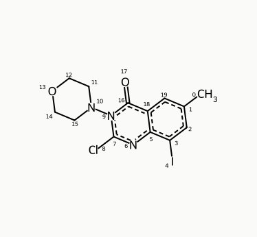 Cc1cc(I)c2nc(Cl)n(N3CCOCC3)c(=O)c2c1